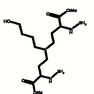 BNC(CCN(CCCCO)CCC(NB)C(=O)OC)C(=O)OC